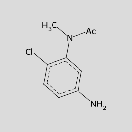 CC(=O)N(C)c1cc(N)ccc1Cl